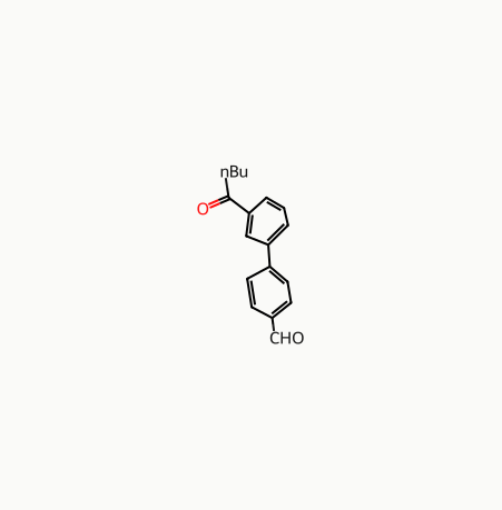 CCCCC(=O)c1cccc(-c2ccc(C=O)cc2)c1